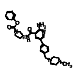 CN1CCN(Cc2ccc(-c3cnc(N)c(C(=O)N[C@@H]4CCN(C(=O)Oc5ccccc5)C4)c3)cc2)CC1